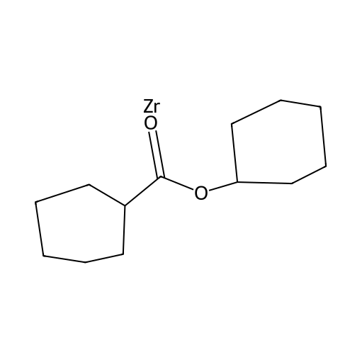 O=C(OC1CCCCC1)C1CCCCC1.[Zr]